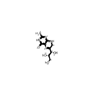 Nc1nc2c(c(=O)[nH]1)N=C([C@H](O)[C@@H](O)CO)CN2